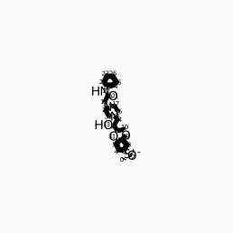 C[S+]([O-])c1ccc2c(c1)OCC(C(O)CN1CCN(CC(=O)Nc3ccccc3)CC1)O2